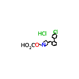 Cl.O=C(O)COCCN1CCC(=Cc2ccccc2-c2ccc(Cl)cc2)CC1